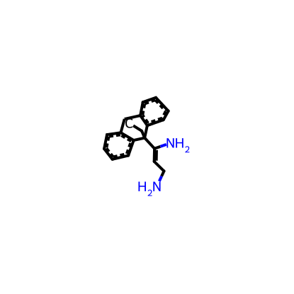 NCC=C(N)C12CCC(c3ccccc31)c1ccccc12